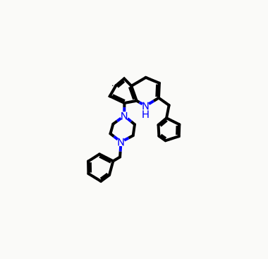 [c]1cc2c(c(N3CCN(Cc4ccccc4)CC3)c1)NC(Cc1ccccc1)=CC2